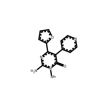 CCCn1c(N)nc(-c2ccco2)c(-c2ccncc2)c1=O